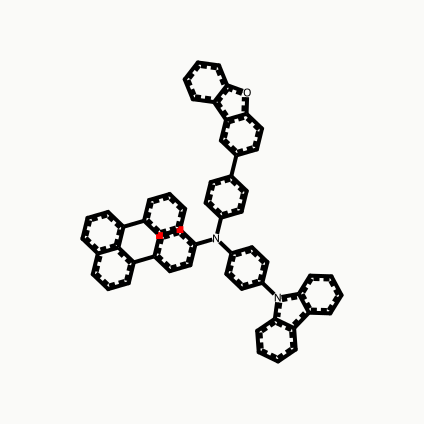 c1ccc(-c2cccc3cccc(-c4ccc(N(c5ccc(-c6ccc7oc8ccccc8c7c6)cc5)c5ccc(-n6c7ccccc7c7ccccc76)cc5)cc4)c23)cc1